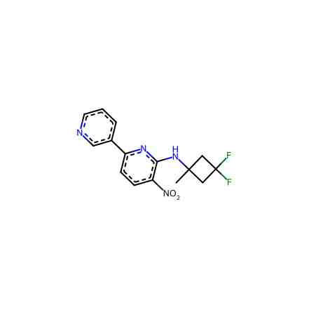 CC1(Nc2nc(-c3cccnc3)ccc2[N+](=O)[O-])CC(F)(F)C1